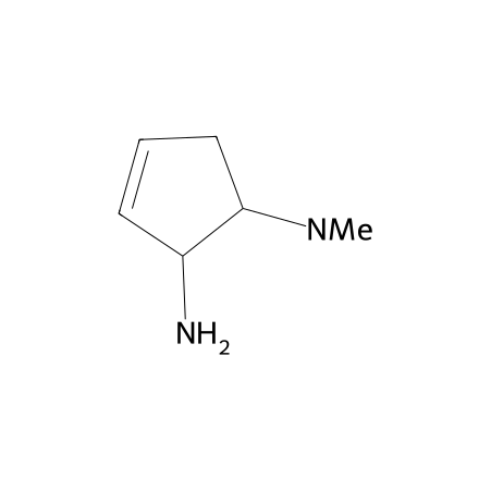 CNC1CC=CC1N